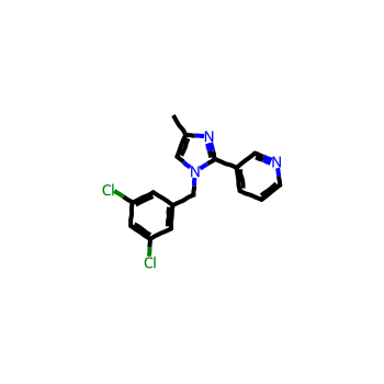 Cc1cn(Cc2cc(Cl)cc(Cl)c2)c(-c2cccnc2)n1